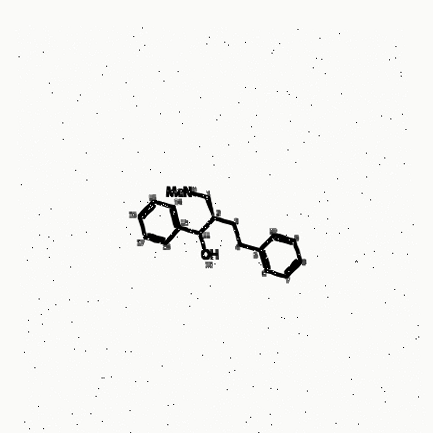 CNC[C@@H](CCc1ccccc1)C(O)c1ccccc1